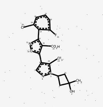 CC1(O)CC(n2ncc(-c3onc(-c4c(F)cccc4Cl)c3C(=O)O)c2C(F)(F)F)C1